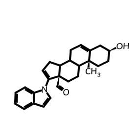 C[C@]12CC[C@H](O)CC1=CCC1C2CC[C@]2(C=O)C(n3ccc4ccccc43)=CCC12